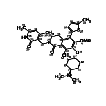 COc1c(O[C@H]2CC[C@H](N(C)C)CC2)c(C)c2c(c1-c1ccc(C)s1)CCN(Cc1c(C)cc(C)[nH]c1=O)C2=O